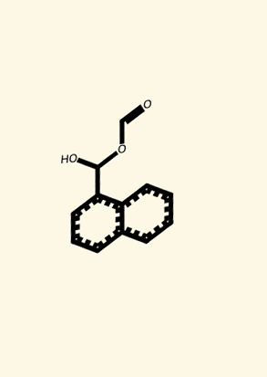 O=COC(O)c1cccc2ccccc12